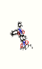 CC(C)C(C)N1C(=O)c2ccc3c4c(ccc(c24)C1=O)C(=O)N(N(Cc1ccccc1)Cc1ccccc1)C3=O